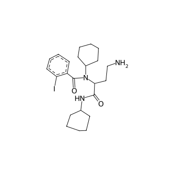 NCCC(C(=O)NC1CCCCC1)N(C(=O)c1ccccc1I)C1CCCCC1